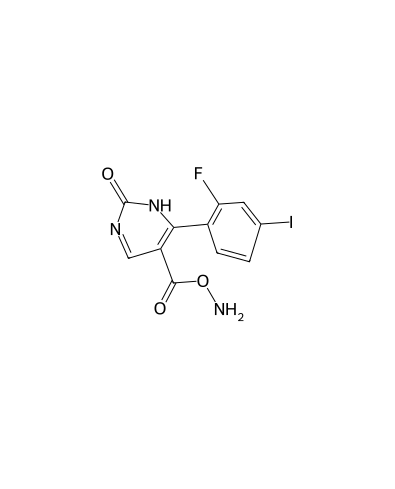 NOC(=O)c1cnc(=O)[nH]c1-c1ccc(I)cc1F